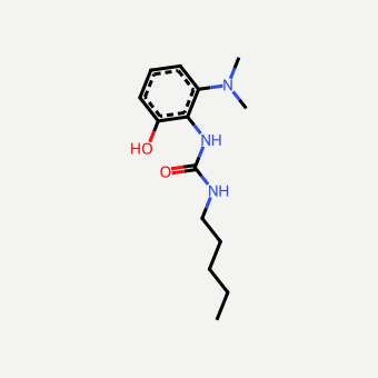 CCCCCNC(=O)Nc1c(O)cccc1N(C)C